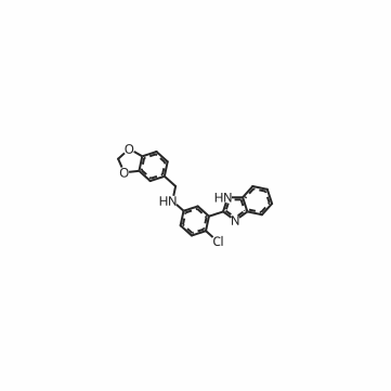 Clc1ccc(NCc2ccc3c(c2)OCO3)cc1-c1nc2ccccc2[nH]1